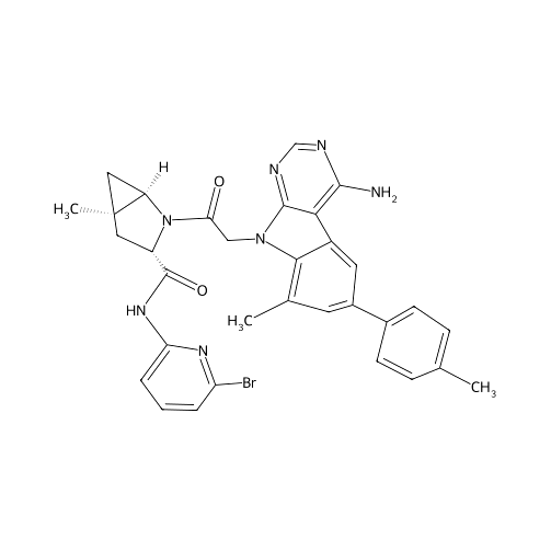 Cc1ccc(-c2cc(C)c3c(c2)c2c(N)ncnc2n3CC(=O)N2[C@H](C(=O)Nc3cccc(Br)n3)C[C@@]3(C)C[C@@H]23)cc1